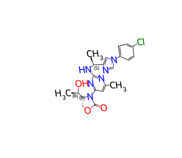 Cc1cc(N2C(=O)OC[C@@H]2[C@@H](C)O)nc(N[C@@H](C)c2cn(-c3ccc(Cl)cc3)cn2)n1